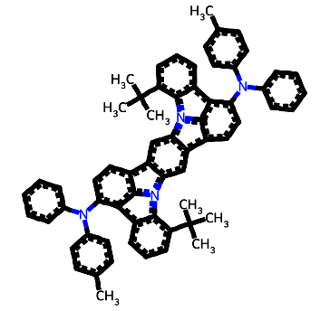 Cc1ccc(N(c2ccccc2)c2ccc3c4cc5c(cc4n4c6c(C(C)(C)C)cccc6c2c34)c2ccc(N(c3ccccc3)c3ccc(C)cc3)c3c4cccc(C(C)(C)C)c4n5c23)cc1